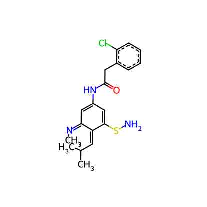 C/N=C1/C=C(NC(=O)Cc2ccccc2Cl)C=C(SN)/C1=C/C(C)C